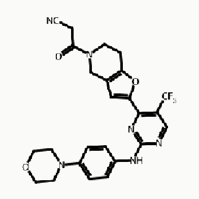 N#CCC(=O)N1CCc2oc(-c3nc(Nc4ccc(N5CCOCC5)cc4)ncc3C(F)(F)F)cc2C1